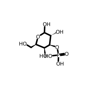 O=P(O)(O)O[C@H]1[C@@H](O)[C@@H](CO)OC(O)[C@@H]1O